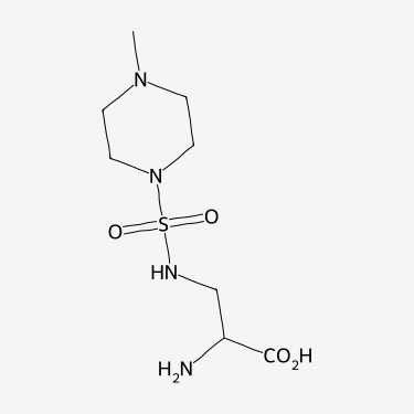 CN1CCN(S(=O)(=O)NCC(N)C(=O)O)CC1